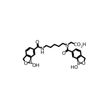 O=C(O)CN(CCCCCNC(=O)c1ccc2c(c1)B(O)OC2)C(=O)c1ccc2c(c1)B(O)OC2